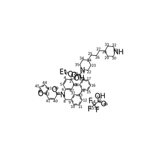 CCOC1(O)C=CC(N(Cc2cccc(-c3cccc(C(=O)N4CCC(CCCC5CCNCC5)CC4)c3)c2)C(=O)C=Cc2ccco2)=CC1.O=C(O)C(F)(F)F